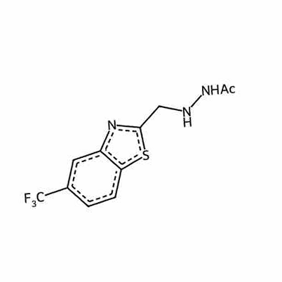 CC(=O)NNCc1nc2cc(C(F)(F)F)ccc2s1